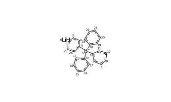 [LiH].c1ccc([B-](c2ccccc2)(c2ccccc2)c2ccccc2)cc1